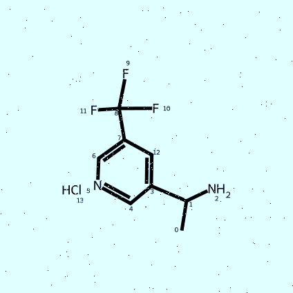 CC(N)c1cncc(C(F)(F)F)c1.Cl